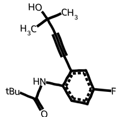 CC(C)(O)C#Cc1cc(F)ccc1NC(=O)C(C)(C)C